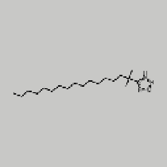 CCCCCCCCCCCCCCCC(C)(C)c1nnn[nH]1